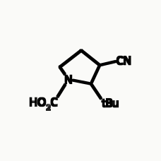 CC(C)(C)C1C(C#N)CCN1C(=O)O